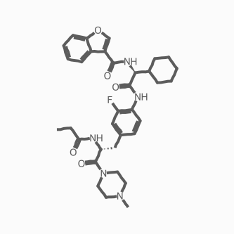 CCC(=O)N[C@H](Cc1ccc(NC(=O)[C@@H](NC(=O)c2coc3ccccc23)C2CCCCC2)c(F)c1)C(=O)N1CCN(C)CC1